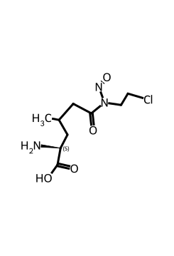 CC(CC(=O)N(CCCl)N=O)C[C@H](N)C(=O)O